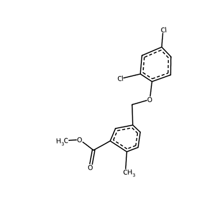 COC(=O)c1cc(COc2ccc(Cl)cc2Cl)ccc1C